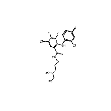 O=C(NOCCC(O)CO)c1cc(Cl)c(F)c(F)c1Nc1ccc(I)cc1Cl